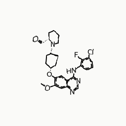 COc1cc2ncnc(Nc3cccc(Cl)c3F)c2cc1O[C@H]1CC[C@@H](N2CCCC[C@H]2C=O)CC1